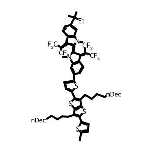 CCCCCCCCCCCCCCc1c(-c2ccc(C)s2)sc2c(CCCCCCCCCCCCCC)c(-c3ccc(-c4ccc5c(=C(C(F)(F)F)C(F)(F)F)/c(=c6/c(=C(C(F)(F)F)C(F)(F)F)c7ccc(C(C)(C)CC)cc7n6C)n(C)c5c4)s3)sc12